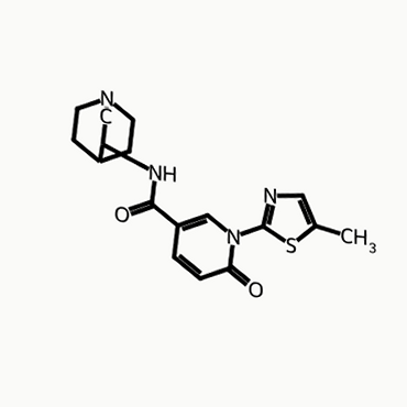 Cc1cnc(-n2cc(C(=O)NC3CN4CCC3CC4)ccc2=O)s1